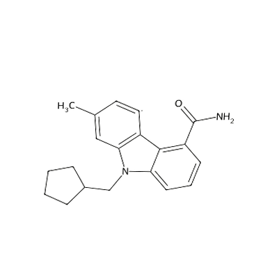 Cc1c[c]c2c3c(C(N)=O)cccc3n(CC3CCCC3)c2c1